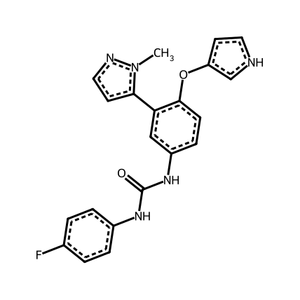 Cn1nccc1-c1cc(NC(=O)Nc2ccc(F)cc2)ccc1Oc1cc[nH]c1